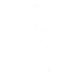 C=CCC1CN(c2ccncc2)CCN1c1ccc(OCCCC(=O)O)cc1